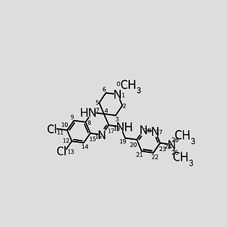 CN1CCC2(CC1)Nc1cc(Cl)c(Cl)cc1N=C2NCc1ccc(N(C)C)nn1